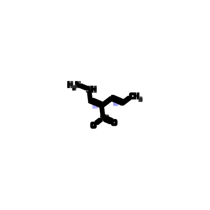 C/C=C/C(=C\NN)[N+](=O)[O-]